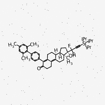 Cc1cc(C)c(-c2ccc(C3=C4CC[C@@H]5C(=C4CCC3=O)CC[C@@]3(C)[C@H]5CC[C@@]3(O)C(F)(F)C#C[Si](C(C)C)(C(C)C)C(C)C)cc2)c(C)c1